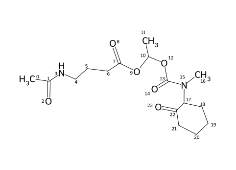 CC(=O)NCCCC(=O)OC(C)OC(=O)N(C)C1CCCCC1=O